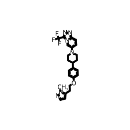 Cn1nccc1CCOc1ccc(C2CCN(c3ccc4nnc(C(F)(F)F)n4c3)CC2)cc1